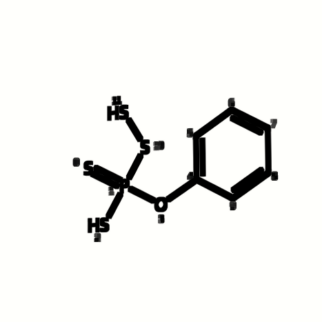 S=P(S)(Oc1ccccc1)SS